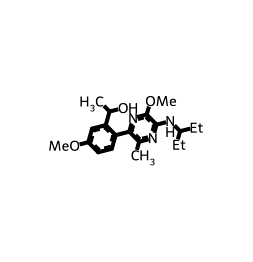 CCC(CC)Nc1nc(C)c(-c2ccc(OC)cc2C(C)O)nc1OC